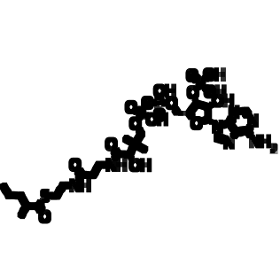 CCCC(C)C(=O)SCCNC(=O)CCNC(=O)[C@H](O)C(C)(C)COP(=O)(O)OP(=O)(O)OC[C@H]1O[C@@H](n2cnc3c(N)ncnc32)[C@H](O)[C@@H]1OP(=O)(O)O